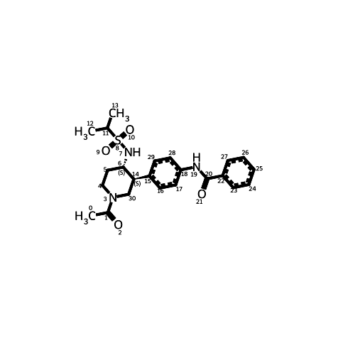 CC(=O)N1CC[C@H](NS(=O)(=O)C(C)C)[C@@H](c2ccc(NC(=O)c3ccccc3)cc2)C1